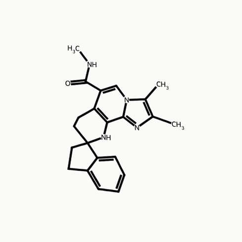 CNC(=O)c1cn2c(C)c(C)nc2c2c1CCC1(CCc3ccccc31)N2